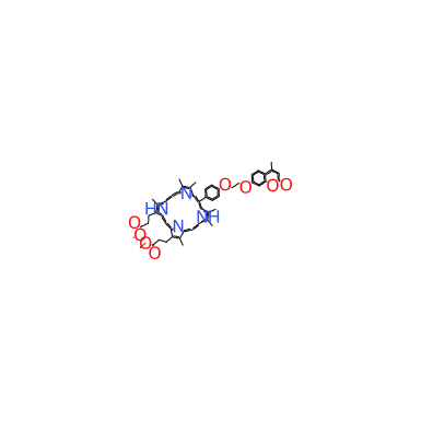 COC(=O)CCC1=C(C)c2cc3[nH]c(c(C)c3C)c(-c3ccc(OCCOc4ccc5c(C)cc(=O)oc5c4)cc3)c3nc(cc4[nH]c(cc1n2)c(CCC(=O)OC)c4C)C(C)=C3C